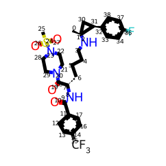 C[C@@]1(NCCCC[C@H](NC(=O)c2ccc(C(F)(F)F)cc2)C(=O)N2CCN(S(C)(=O)=O)CC2)C[C@H]1c1ccc(F)cc1